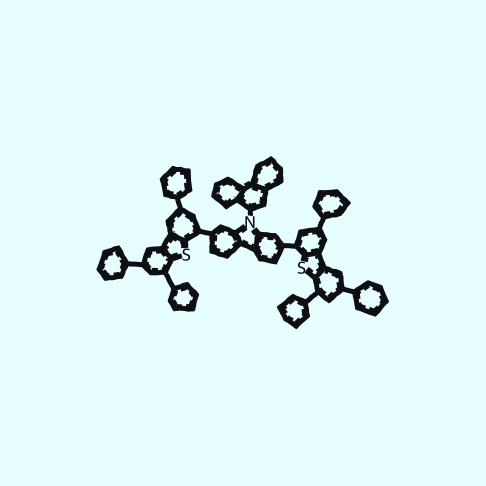 c1ccc(-c2cc(-c3ccccc3)c3sc4c(-c5ccc6c7ccc(-c8cc(-c9ccccc9)cc9c8sc8c(-c%10ccccc%10)cc(-c%10ccccc%10)cc89)cc7n(-c7cc8ccccc8c8ccccc78)c6c5)cc(-c5ccccc5)cc4c3c2)cc1